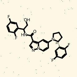 O=C(NC(CO)c1cc(F)ccc1F)c1cnn2ccc(N3CCC[C@@H]3c3cc(F)ccc3F)cc12